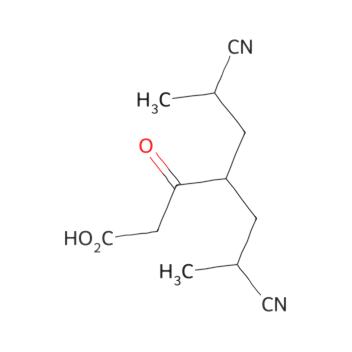 CC(C#N)CC(CC(C)C#N)C(=O)CC(=O)O